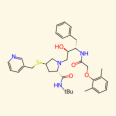 Cc1cccc(C)c1OCC(=O)N[C@@H](Cc1ccccc1)[C@H](O)CN1C[C@H](SCc2cccnc2)C[C@H]1C(=O)NC(C)(C)C